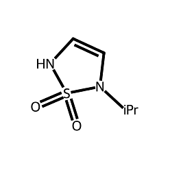 CC(C)N1C=CNS1(=O)=O